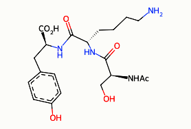 CC(=O)N[C@@H](CO)C(=O)N[C@@H](CCCCN)C(=O)N[C@@H](Cc1ccc(O)cc1)C(=O)O